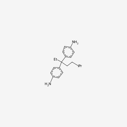 CCC(CCC(C)C)(c1ccc(N)cc1)c1ccc(N)cc1